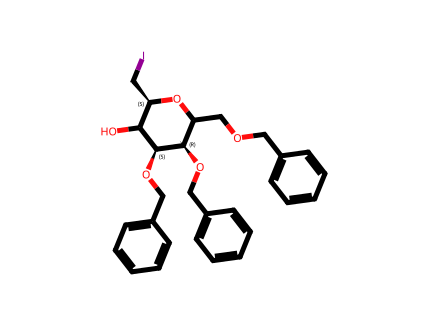 OC1[C@@H](CI)OC(COCc2ccccc2)[C@@H](OCc2ccccc2)[C@H]1OCc1ccccc1